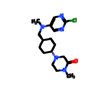 CN1CCN([C@H]2CC[C@H](CN(C)c3cnc(Cl)nc3)CC2)CC1=O